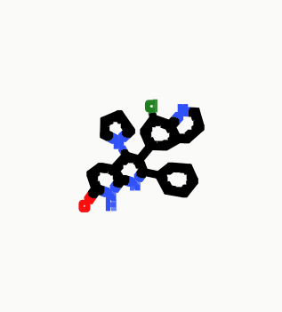 O=c1ccc2c(-n3cccc3)c(-c3cc(Cl)c4ncccc4c3)c(-c3ccccc3)nc2[nH]1